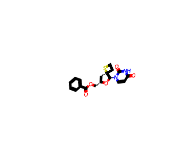 O=C(OC[C@@H]1C[C@]2(CCS2)[C@H](n2ccc(=O)[nH]c2=O)O1)c1ccccc1